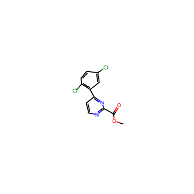 COC(=O)c1nccc(-c2cc(Cl)ccc2Cl)n1